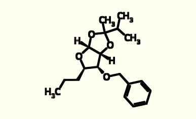 CCC[C@H]1O[C@@H]2OC(C)(C(C)C)O[C@@H]2[C@H]1OCc1ccccc1